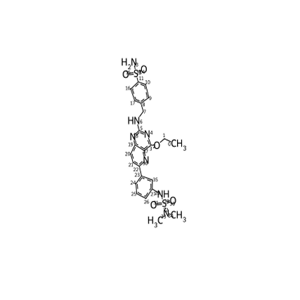 CCOc1nc(NCc2ccc(S(N)(=O)=O)cc2)nc2ccc(-c3cccc(NS(=O)(=O)N(C)C)c3)nc12